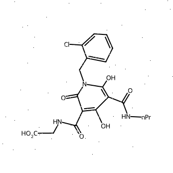 CCCNC(=O)c1c(O)c(C(=O)NCC(=O)O)c(=O)n(Cc2ccccc2Cl)c1O